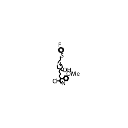 COc1ccc2ncc(Cl)c(CCCC3(CO)CCN(CCCSc4ccc(F)cc4)CC3)c2c1